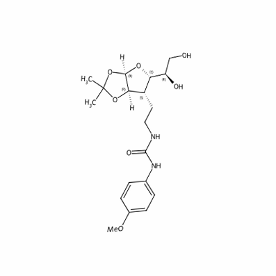 COc1ccc(NC(=O)NCC[C@@H]2[C@H]3OC(C)(C)O[C@H]3O[C@@H]2[C@H](O)CO)cc1